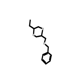 CCC1COC(COCc2ccccc2)CO1